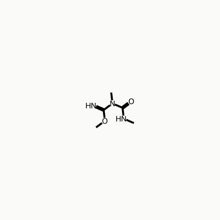 CNC(=O)N(C)C(=N)OC